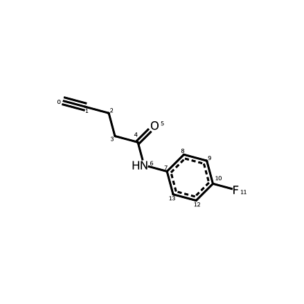 C#CCCC(=O)Nc1ccc(F)cc1